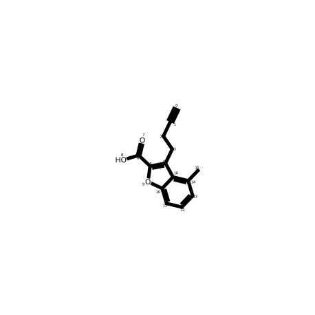 C#CCCc1c(C(=O)O)oc2cccc(C)c12